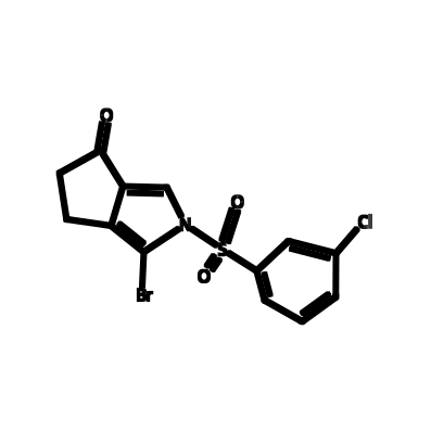 O=C1CCc2c1cn(S(=O)(=O)c1cccc(Cl)c1)c2Br